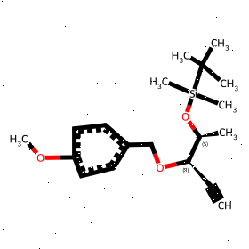 C#C[C@@H](OCc1ccc(OC)cc1)[C@H](C)O[Si](C)(C)C(C)(C)C